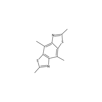 Cc1nc2c(C)c3sc(C)nc3c(C)c2s1